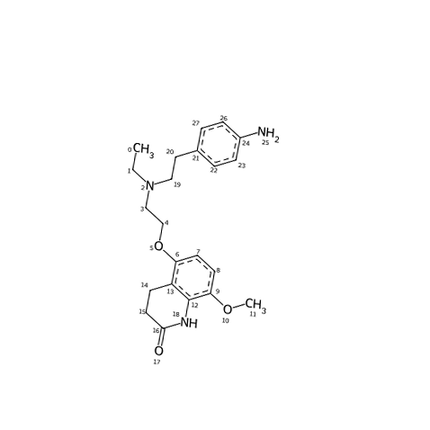 CCN(CCOc1ccc(OC)c2c1CCC(=O)N2)CCc1ccc(N)cc1